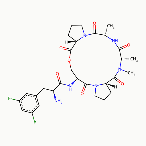 C[C@@H]1NC(=O)[C@H](C)N(C)C(=O)[C@@H]2CCCN2C(=O)[C@@H](NC(=O)[C@@H](N)Cc2cc(F)cc(F)c2)COC(=O)[C@@H]2CCCN2C1=O